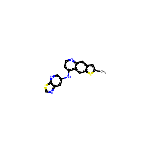 Cc1cc2cc3nccc(Nc4cnc5scnc5c4)c3cc2s1